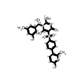 CCCCc1nc(=O)c(S(=O)(=O)c2ccc(-c3ccc(F)nc3C)cc2)c(O)n1[C@@H](CC)c1cc(C)cc(F)c1